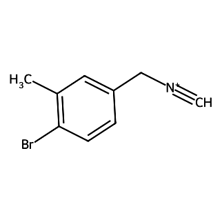 C#[N+]Cc1ccc(Br)c(C)c1